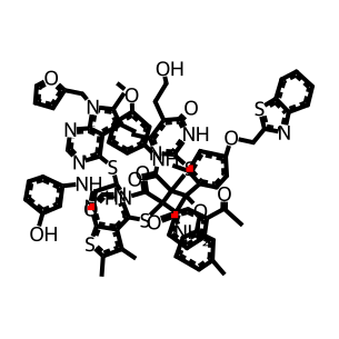 COc1cccc(NC(=O)C(Sc2nc(C)c(CCO)c(=O)[nH]2)(C(Oc2cccc(C)c2)(C(N)=O)c2ccc(OCc3nc4ccccc4s3)cc2C)C(Sc2ncnc3sc(C)c(C)c23)(C(=O)NC(Sc2ncnc3c2c(C)c(C)n3Cc2ccco2)C(=O)Nc2cccc(O)c2)c2cccc(C(C)=O)c2)c1